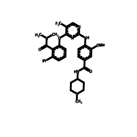 COc1cc(C(=O)NC2CCN(C)CC2)ccc1Nc1ncc(C(F)(F)F)c(Oc2cccc(C(C)C)c2C(=O)N(C)C)n1